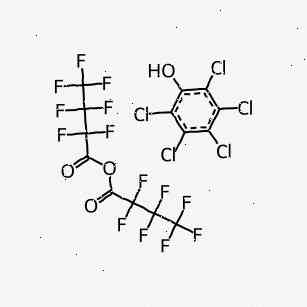 O=C(OC(=O)C(F)(F)C(F)(F)C(F)(F)F)C(F)(F)C(F)(F)C(F)(F)F.Oc1c(Cl)c(Cl)c(Cl)c(Cl)c1Cl